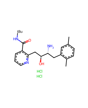 Cc1ccc(C)c(C[C@@H](N)[C@@H](O)Cc2ncccc2C(=O)NC(C)(C)C)c1.Cl.Cl